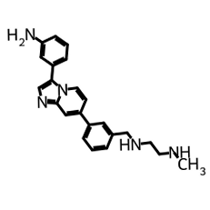 CNCCNCc1cccc(-c2ccn3c(-c4cccc(N)c4)cnc3c2)c1